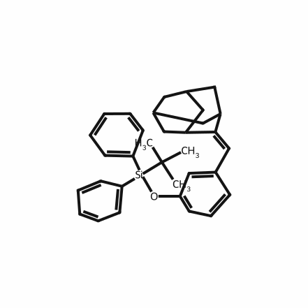 CC(C)(C)[Si](Oc1cccc(C=C2C3CC4CC(C3)CC2C4)c1)(c1ccccc1)c1ccccc1